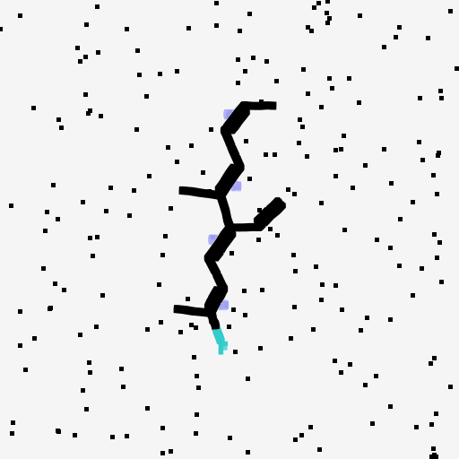 C=CC(=C\C=C(/C)F)/C(C)=C/C=C\C